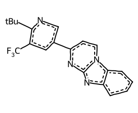 CC(C)(C)c1ncc(-c2ccn3c(n2)nc2ccccc23)cc1C(F)(F)F